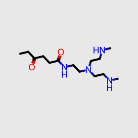 CCC(=O)CCC(=O)NCCN(CCNC)CCNC